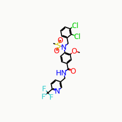 COc1cc(C(=O)NCc2ccc(C(F)(F)F)nc2)ccc1N(Cc1cccc(Cl)c1Cl)S(C)(=O)=O